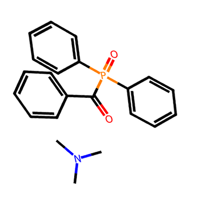 CN(C)C.O=C(c1ccccc1)P(=O)(c1ccccc1)c1ccccc1